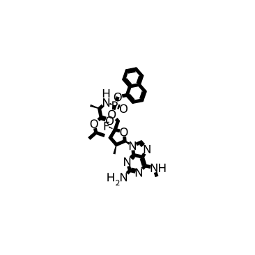 CNc1nc(N)nc2c1ncn2[C@@H]1O[C@](F)(CO[P@@](=O)(N[C@H](C)C(=O)OC(C)C)Oc2cccc3ccccc23)C[C@@H]1C